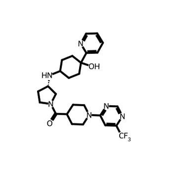 O=C(C1CCN(c2cc(C(F)(F)F)ncn2)CC1)N1CC[C@H](NC2CCC(O)(c3ccccn3)CC2)C1